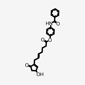 O=C(CCCC=CCC1=CC(O)CC1=O)Oc1ccc(NC(=O)c2ccccc2)cc1